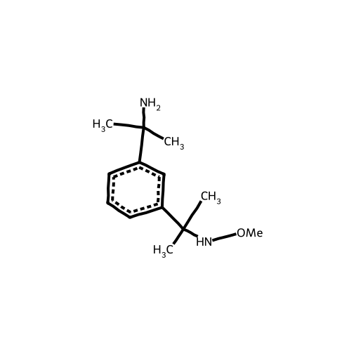 CONC(C)(C)c1cccc(C(C)(C)N)c1